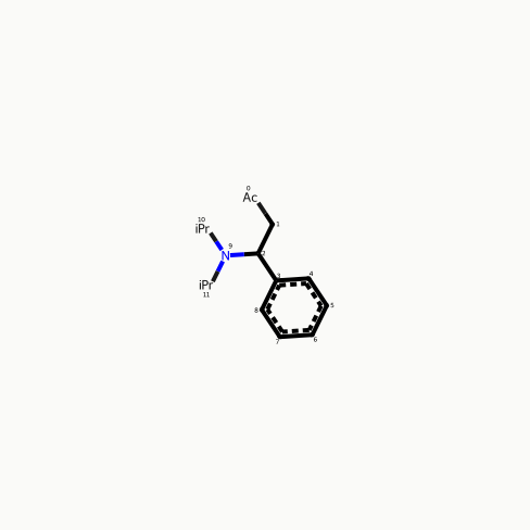 CC(=O)CC(c1ccccc1)N(C(C)C)C(C)C